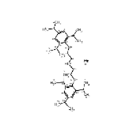 CC(C)c1cc(C(C)C)c(NCCNCCNc2c(C(C)C)cc(C(C)C)cc2C(C)C)c(C(C)C)c1.[Mn]